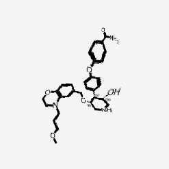 COCCCN1CCOc2ccc(CO[C@H]3CNC[C@@H](O)[C@@H]3c3ccc(Oc4ccc(C(N)=O)cc4)cc3)cc21